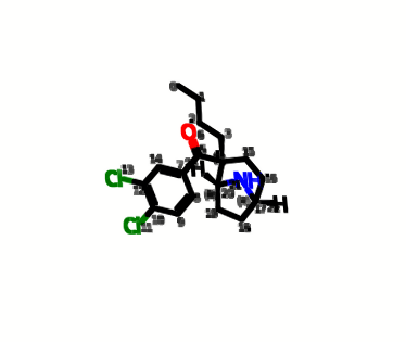 CCCC[C@@]1(C(=O)c2ccc(Cl)c(Cl)c2)CC[C@@H]2CC[C@H]1N2